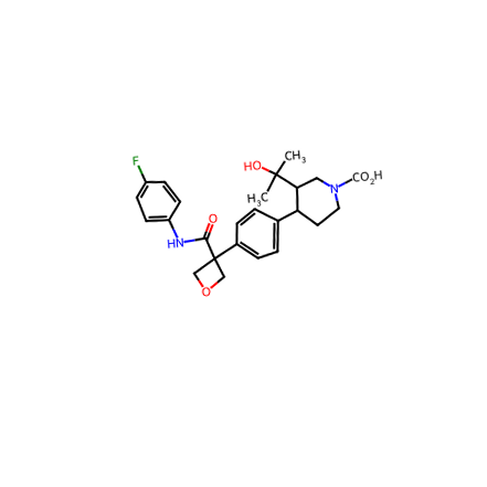 CC(C)(O)C1CN(C(=O)O)CCC1c1ccc(C2(C(=O)Nc3ccc(F)cc3)COC2)cc1